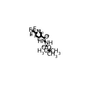 CC(C)(C)OC(=O)NNC(=O)c1ccc(C(F)(F)F)nc1